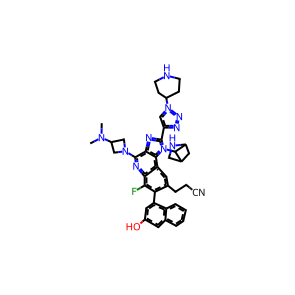 CN(C)C1CN(c2nc3c(F)c(-c4cc(O)cc5ccccc45)c(CCC#N)cc3c3c2nc(-c2cn(C4CCNCC4)nn2)n3C2C3CNC2C3)C1